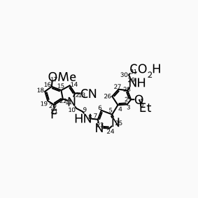 CCOc1cc(-c2cc(NCCn3c(C#N)cc4c(OC)ccc(F)c43)ncn2)ccc1NCC(=O)O